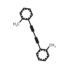 Cc1ccccc1C#CC#Cc1ccccc1C